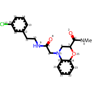 CNC(=O)C1CN(CC(=O)NCCc2cccc(Cl)c2)c2ccccc2O1